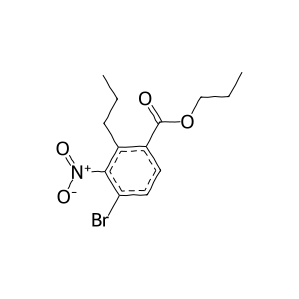 CCCOC(=O)c1ccc(Br)c([N+](=O)[O-])c1CCC